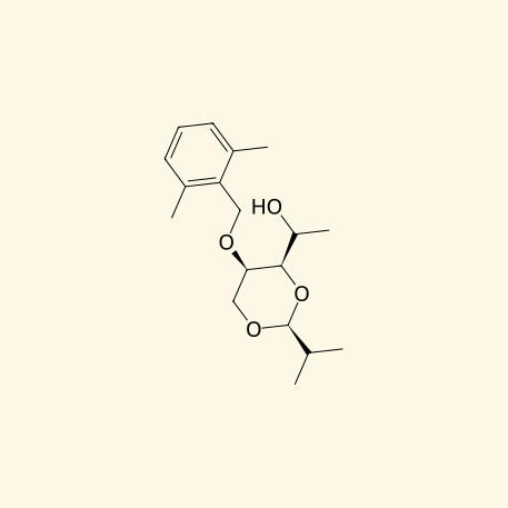 Cc1cccc(C)c1CO[C@@H]1CO[C@H](C(C)C)O[C@@H]1C(C)O